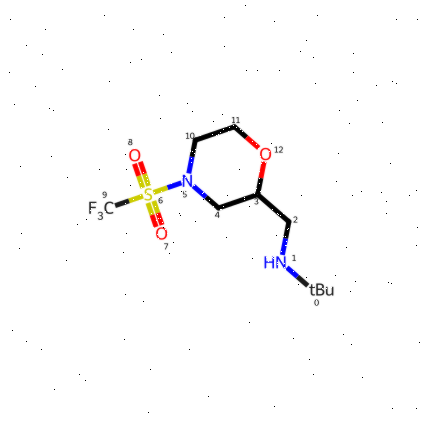 CC(C)(C)NCC1CN(S(=O)(=O)C(F)(F)F)CCO1